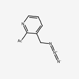 CC(=O)c1ncccc1CN=[N+]=[N-]